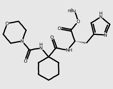 CCCCOC(=O)[C@H](Cc1c[nH]cn1)NC(=O)C1(NC(=O)N2CCOCC2)CCCCC1